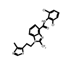 Cc1ncsc1CCn1c(C(F)(F)F)nc2c(C(=O)Nc3c(Cl)cccc3Cl)cccc21